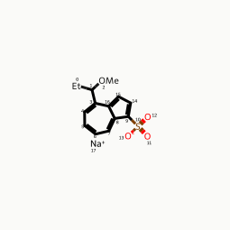 CCC(OC)c1ccccc2c(S(=O)(=O)[O-])ccc1-2.[Na+]